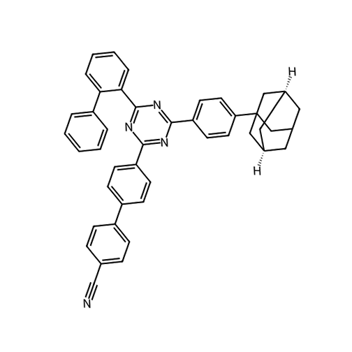 N#Cc1ccc(-c2ccc(-c3nc(-c4ccc(C56CC7C[C@H](C5)C[C@@H](C7)C6)cc4)nc(-c4ccccc4-c4ccccc4)n3)cc2)cc1